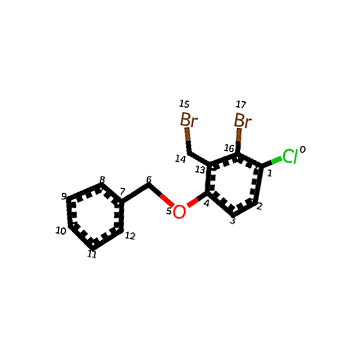 Clc1ccc(OCc2ccccc2)c(CBr)c1Br